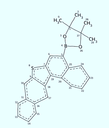 CC1(C)OB(c2cc3sc4cc5ccccc5cc4c3c3ccccc23)OC1(C)C